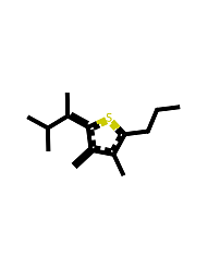 C=c1c(C)c(CCC)s/c1=C(\C)C(C)C